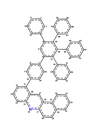 c1ccc(-c2cc(-c3ccc(-c4cccc5nc6ccc7ccccc7c6cc45)cc3)c(-c3ccccc3)c(-c3ccccc3)c2-c2ccccc2)cc1